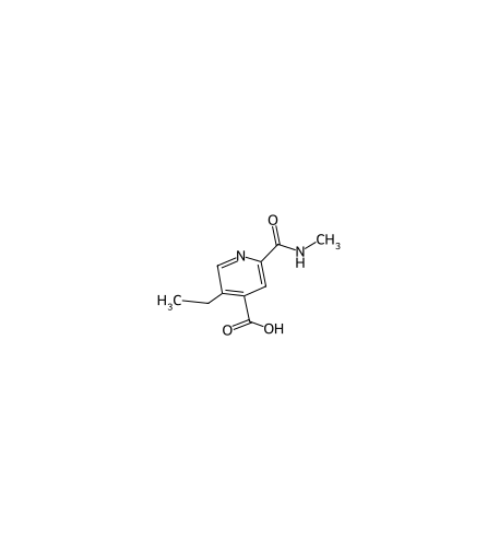 CCc1cnc(C(=O)NC)cc1C(=O)O